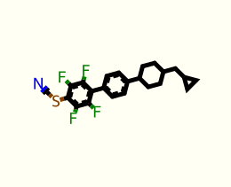 N#CSc1c(F)c(F)c(-c2ccc(C3CCC(CC4CC4)CC3)cc2)c(F)c1F